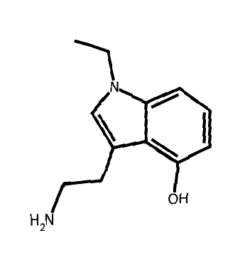 CCn1cc(CCN)c2c(O)cccc21